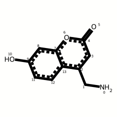 NCc1cc(=O)oc2cc(O)ccc12